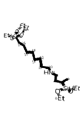 CCO[SiH](OCC)C(C)CCNCCCCCCCC[Si](OCC)(OCC)OCC